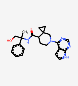 CC(CO)(NC(=O)C1CCN(c2ncnc3[nH]ccc23)CC12CC2)c1ccccc1